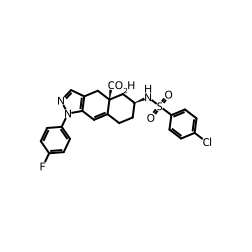 O=C(O)[C@]12Cc3cnn(-c4ccc(F)cc4)c3C=C1CC[C@H](NS(=O)(=O)c1ccc(Cl)cc1)C2